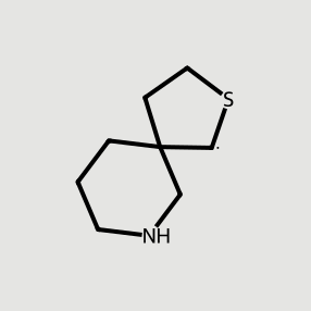 [CH]1SCCC12CCCNC2